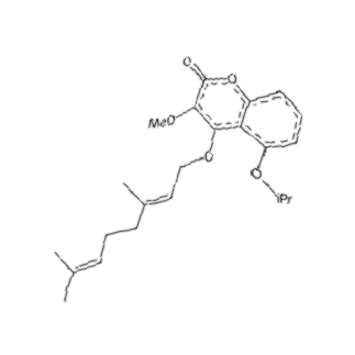 COc1c(OC/C=C(\C)CCC=C(C)C)c2c(OC(C)C)cccc2oc1=O